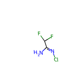 NC(=NCl)C(F)F